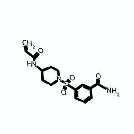 C=CC(=O)NC1CCN(S(=O)(=O)c2cccc(C(N)=O)c2)CC1